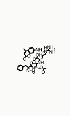 CC(=O)OC[C@H](NC(=O)[C@@H](N)Cc1ccccc1)C(=O)N[C@@H](CCCNC(=N)N)C(=O)O.Cc1cc(=O)oc2cc(N)ccc12